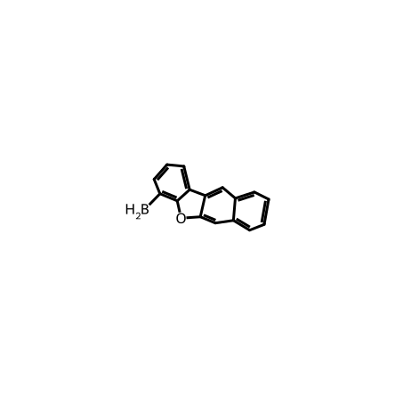 Bc1cccc2c1oc1cc3ccccc3cc12